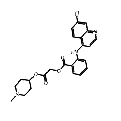 CN1CCC(OC(=O)COC(=O)c2ccccc2Nc2ccnc3cc(Cl)ccc23)CC1